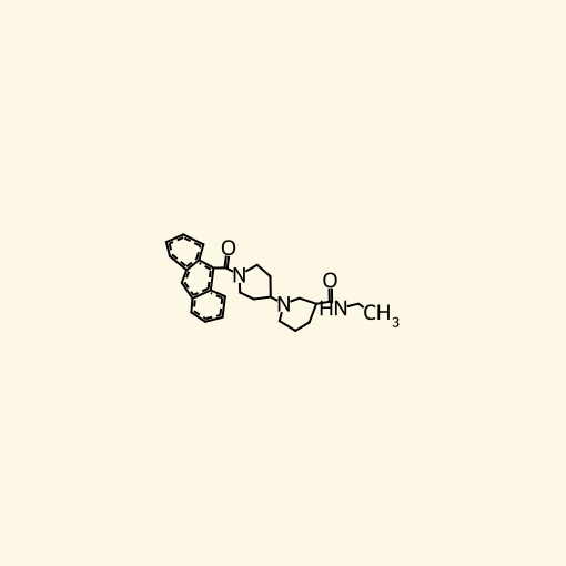 CCNC(=O)C1CCCN(C2CCN(C(=O)c3c4ccccc4cc4ccccc34)CC2)C1